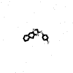 Fc1ccc(Sc2cnc3cc4ccccc4cc3n2)cc1